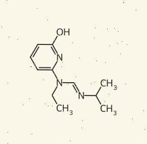 CCN(C=NC(C)C)c1cccc(O)n1